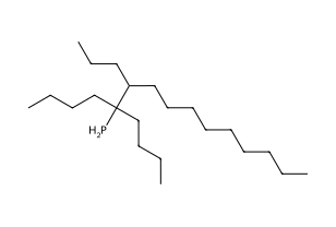 CCCCCCCCCC(CCC)C(P)(CCCC)CCCC